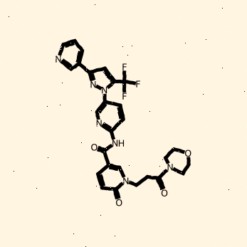 O=C(Nc1ccc(-n2nc(-c3cccnc3)cc2C(F)(F)F)cn1)c1ccc(=O)n(CCC(=O)N2CCOCC2)c1